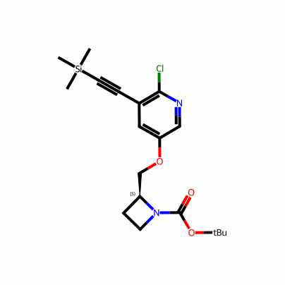 CC(C)(C)OC(=O)N1CC[C@H]1COc1cnc(Cl)c(C#C[Si](C)(C)C)c1